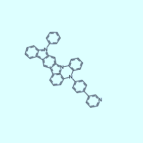 c1ccc(-n2c3ccccc3c3cc4c5cccc6c5n(c4cc32)-c2ccccc2N6c2ccc(-c3cccnc3)cc2)cc1